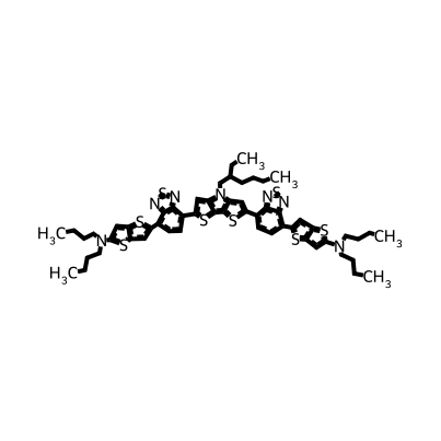 CCCCC(CC)Cn1c2cc(-c3ccc(-c4cc5sc(N(CCCC)CCCC)cc5s4)c4nsnc34)sc2c2sc(-c3ccc(-c4cc5sc(N(CCCC)CCCC)cc5s4)c4nsnc34)cc21